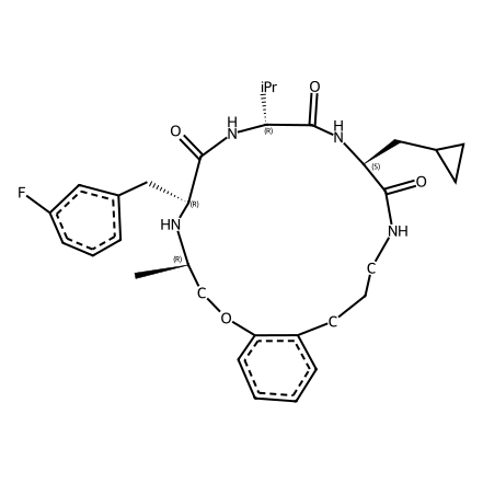 CC(C)[C@H]1NC(=O)[C@@H](Cc2cccc(F)c2)N[C@H](C)COc2ccccc2CCCNC(=O)[C@H](CC2CC2)NC1=O